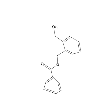 O=C(OCc1ccccc1CO)c1ccccc1